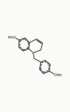 COc1ccc(CN2CC=Cc3cc(OC)ccc32)cc1